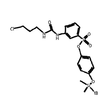 CC(C)(C)[Si](C)(C)Oc1ccc(OS(=O)(=O)c2cccc(NC(=O)NCCCCl)c2)cc1